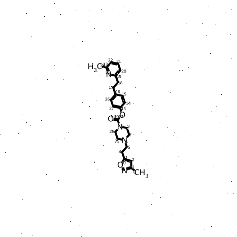 Cc1cc(CCN2CCN(C(=O)Oc3ccc(CCc4cccc(C)n4)cc3)CC2)on1